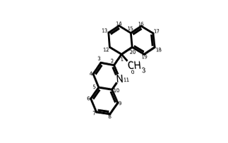 CC1(c2ccc3ccccc3n2)CC=Cc2ccccc21